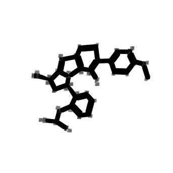 COc1ccc(-c2ccc3nc4n(c3c2F)[C@@H](c2ccccc2OC(F)F)C[C@H]4O)cn1